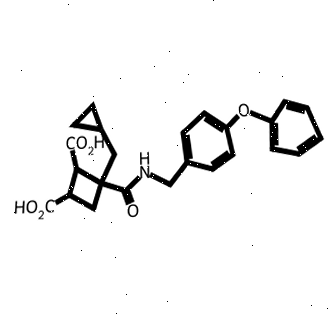 O=C(O)C1CC(CC2CC2)(C(=O)NCc2ccc(Oc3ccccc3)cc2)C1C(=O)O